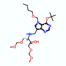 CCCCOCn1cc(CN[C@@H](COCOC)[C@@H](O)COCOC)c2ncnc(OC(C)(C)C)c21